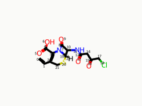 C=CC1=C(C(=O)O)N2C(=O)C(NC(=O)CC(=O)CCl)[C@@H]2SC1